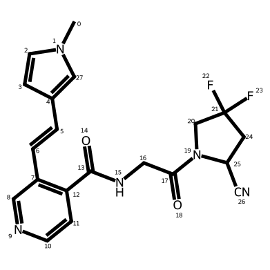 Cn1ccc(C=Cc2cnccc2C(=O)NCC(=O)N2CC(F)(F)CC2C#N)c1